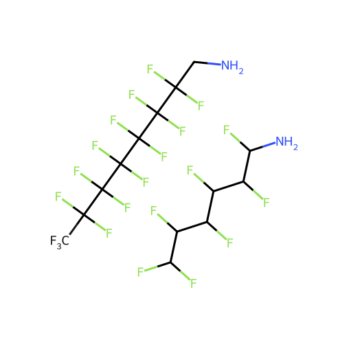 NC(F)C(F)C(F)C(F)C(F)C(F)F.NCC(F)(F)C(F)(F)C(F)(F)C(F)(F)C(F)(F)C(F)(F)C(F)(F)F